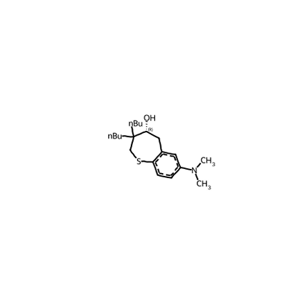 CCCCC1(CCCC)CSc2ccc(N(C)C)cc2C[C@H]1O